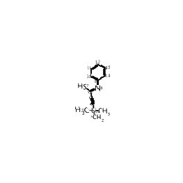 C[Si](C)(C)C#CC(S)=Nc1ccccc1